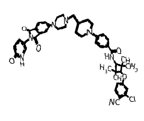 CC1(C)C(NC(=O)c2ccc(N3CCC(CN4CCN(c5ccc6c(c5)C(=O)N(c5ccc(=O)[nH]c5)C6=O)CC4)CC3)cc2)C(C)(C)C1Oc1ccc(C#N)c(Cl)c1